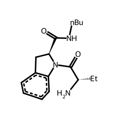 CCCCNC(=O)[C@@H]1Cc2ccccc2N1C(=O)[C@@H](N)CC